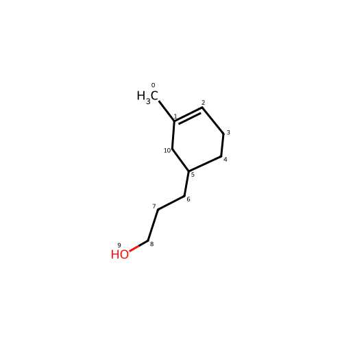 CC1=CCCC(CCCO)C1